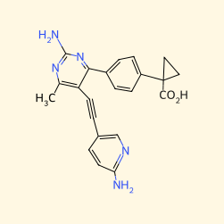 Cc1nc(N)nc(-c2ccc(C3(C(=O)O)CC3)cc2)c1C#Cc1ccc(N)nc1